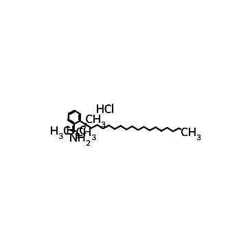 CCCCCCCCCCCCCCCCCC(C)(C)c1ccccc1C(C)(C)N.Cl